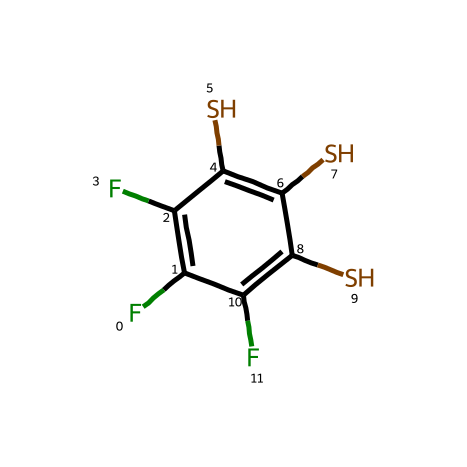 Fc1c(F)c(S)c(S)c(S)c1F